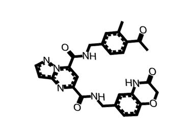 CC(=O)c1ccc(CNC(=O)c2cc(C(=O)NCc3ccc4c(c3)NC(=O)CO4)nc3ccnn23)cc1C